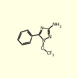 Nc1nc(-c2ccccc2)n(OC(F)(F)F)n1